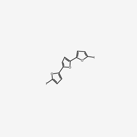 Ic1ccc(-c2ccc(-c3ccc(I)o3)o2)o1